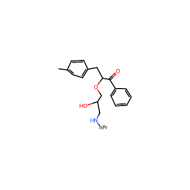 CCCNCC(O)COC(Cc1ccc(C)cc1)C(=O)c1ccccc1